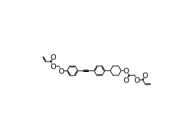 C=CC(=O)OCOc1ccc(C#Cc2ccc(C3CCC(OC(=O)COC(=O)C=C)CC3)cc2)cc1